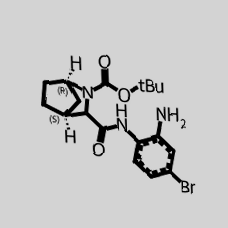 CC(C)(C)OC(=O)N1C(C(=O)Nc2ccc(Br)cc2N)[C@H]2CC[C@@H]1C2